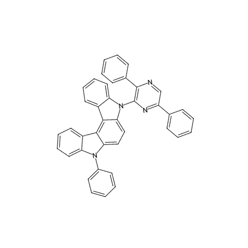 c1ccc(-c2cnc(-c3ccccc3)c(-n3c4ccccc4c4c5c6ccccc6n(-c6ccccc6)c5ccc43)n2)cc1